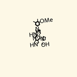 COc1cc(-n2cnc(Nc3nc4c(c(N5CCC[C@@H]5CO)n3)CNC4)c2)cc(C)c1C